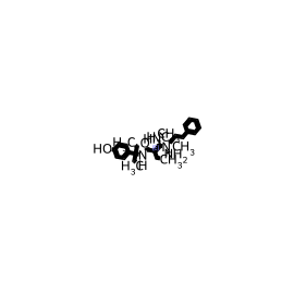 CC/C(C(=O)NC(CC)(CC)c1ccc(O)cc1)=C(/NC)N(N)C(C)(C)CCc1ccccc1